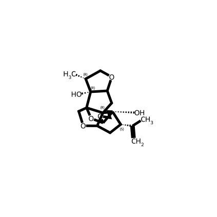 C=C(C)[C@@H]1CC2OCC34OC5OC[C@H](O)C51C23CC1OC[C@@H](C)[C@@]14O